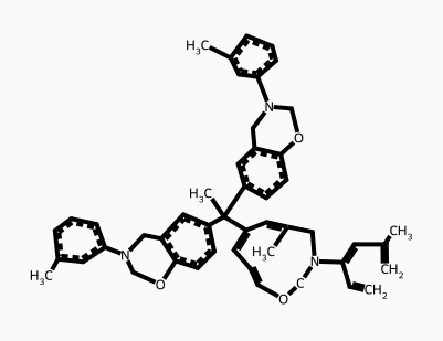 C=C/C(=C\C(=C)C)N1CO/C=C/C=C(C(C)(c2ccc3c(c2)CN(c2cccc(C)c2)CO3)c2ccc3c(c2)CN(c2cccc(C)c2)CO3)\C=C(/C)C1